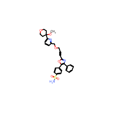 COC1(c2cccc(COCC#Cc3nc(-c4ccccc4)c(-c4ccc(S(N)(=O)=O)cc4)o3)n2)CCOCC1